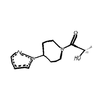 C[C@H](O)C(=O)N1CCC(n2c[c]cn2)CC1